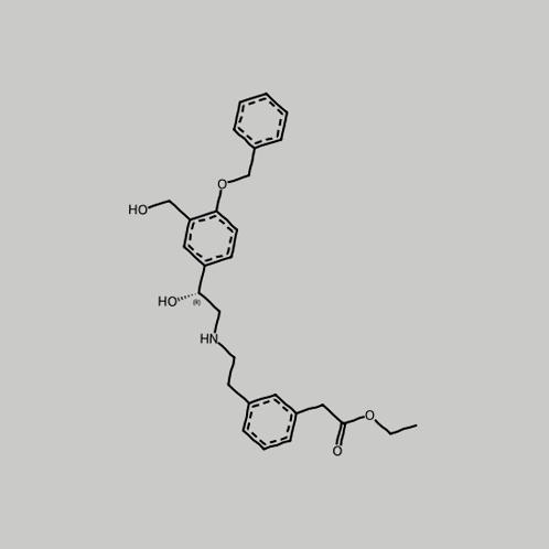 CCOC(=O)Cc1cccc(CCNC[C@H](O)c2ccc(OCc3ccccc3)c(CO)c2)c1